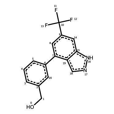 OCc1cccc(-c2cc(C(F)(F)F)cc3[nH]ncc23)c1